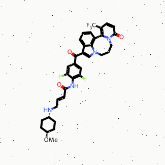 CO[C@H]1CC[C@H](NC/C=C/C(=O)Nc2c(F)cc(C(=O)c3cn4c5c(cccc35)-c3c(C(F)(F)F)ccc(=O)n3CCC4)cc2F)CC1